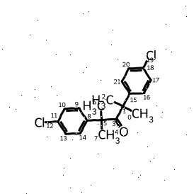 CC(C)(C(=O)C(C)(C)c1ccc(Cl)cc1)c1ccc(Cl)cc1